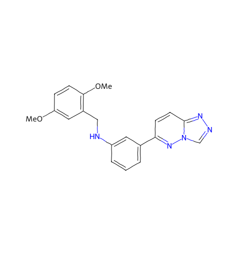 COc1ccc(OC)c(CNc2cccc(-c3ccc4nncn4n3)c2)c1